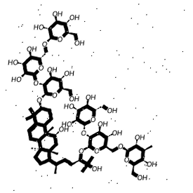 C[C@@H]1[C@@H](O)[C@H](OC[C@H]2O[C@@H](O[C@H](CC[C@@H](C)C3CC[C@@]4(C)C5CC=C6C(CC[C@H](O[C@@H]7O[C@H](CO)[C@@H](O)[C@H](O)[C@H]7OC7O[C@@H](CO[C@@H]8O[C@H](CO)[C@@H](O)[C@H](O)[C@H]8O)[C@H](O)[C@@H](O)[C@@H]7O)C6(C)C)[C@]5(C)[C@H](O)C[C@]34C)C(C)(C)O)[C@H](O[C@H]3O[C@@H](CO)[C@H](O)[C@@H](O)[C@@H]3O)[C@@H](O)[C@@H]2O)O[C@H](CO)[C@H]1O